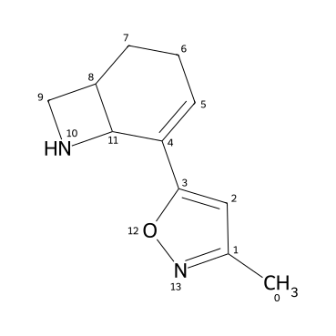 Cc1cc(C2=CCCC3CNC23)on1